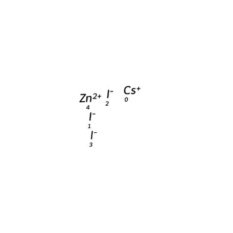 [Cs+].[I-].[I-].[I-].[Zn+2]